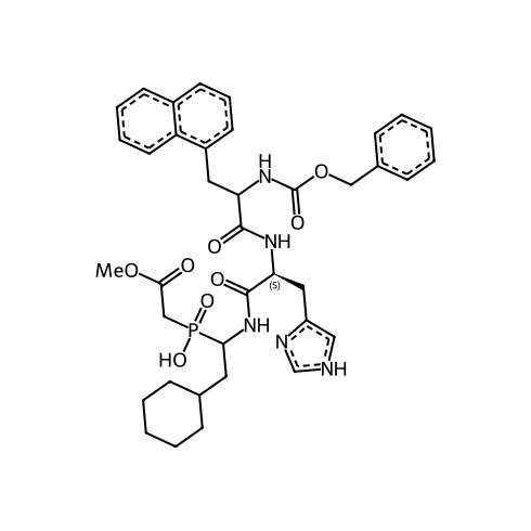 COC(=O)CP(=O)(O)C(CC1CCCCC1)NC(=O)[C@H](Cc1c[nH]cn1)NC(=O)C(Cc1cccc2ccccc12)NC(=O)OCc1ccccc1